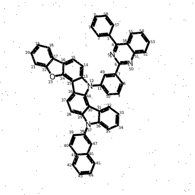 c1ccc(-c2nc(-c3cccc(-n4c5ccc6c7ccccc7oc6c5c5ccc6c(c7ccccc7n6-c6ccc7ccccc7c6)c54)c3)nc3ccccc23)cc1